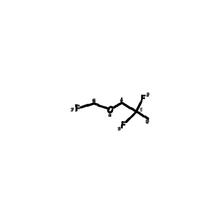 CC(F)(F)COCF